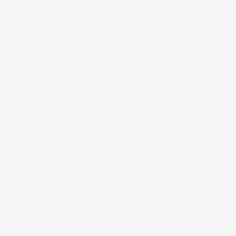 C=NN(/C(C)=C/C(=C)N(C)C(=O)C(N)CC)c1cccc(C)c1